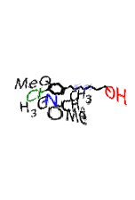 COc1cc(C/C(C)=C/C=C/CCO)cc(N(C)C(C)OC)c1Cl